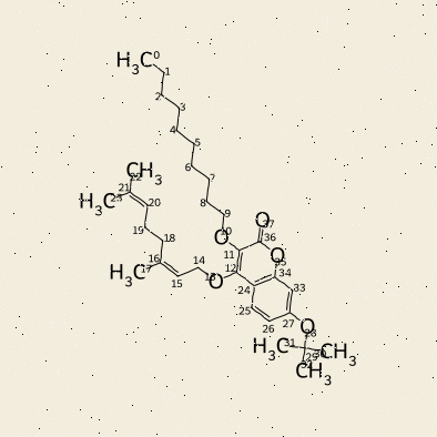 CCCCCCCCCCOc1c(OCC=C(C)CCC=C(C)C)c2ccc(OC(C)(C)C)cc2oc1=O